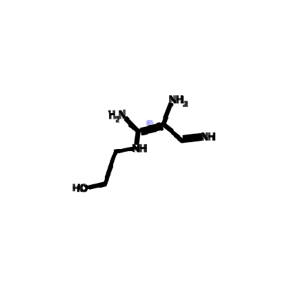 N=C/C(N)=C(/N)NCCO